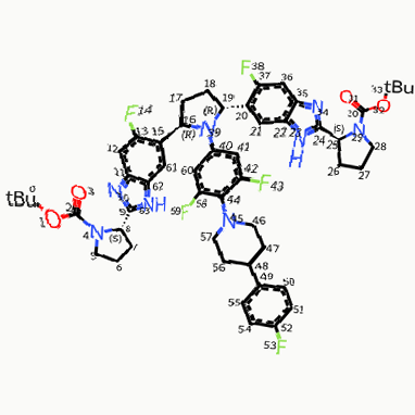 CC(C)(C)OC(=O)N1CCC[C@H]1c1nc2cc(F)c([C@H]3CC[C@H](c4cc5[nH]c([C@@H]6CCCN6C(=O)OC(C)(C)C)nc5cc4F)N3c3cc(F)c(N4CCC(c5ccc(F)cc5)CC4)c(F)c3)cc2[nH]1